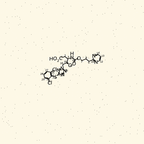 O=C(O)CC(NC(=O)OCCCc1ncccn1)C(=O)Cn1nnc(Sc2c(Cl)cccc2Cl)n1